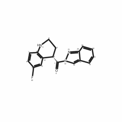 O=C([C@H]1CCNc2ccc(F)cc21)n1cc2ccccc2n1